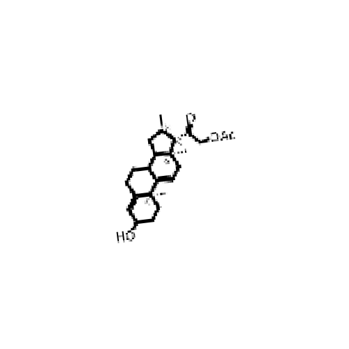 CC(=O)OCC(=O)[C@H]1[C@H](C)CC2C3CCC4=CC(O)CC[C@]4(C)C3=CC[C@@]21C